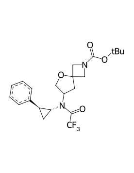 CC(C)(C)OC(=O)N1CC2(CC(N(C(=O)C(F)(F)F)[C@@H]3C[C@H]3c3ccccc3)CO2)C1